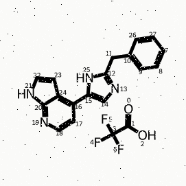 O=C(O)C(F)(F)F.c1ccc(Cc2ncc(-c3ccnc4[nH]ccc34)[nH]2)cc1